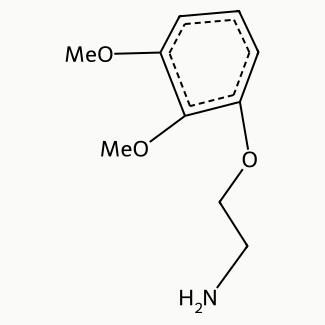 COc1cccc(OCCN)c1OC